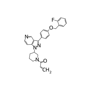 C=CC(=O)N1CCCC(n2nc(-c3ccc(OCc4ccccc4F)cc3)c3cnccc32)C1